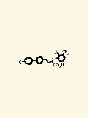 O=C(O)C(CCc1ccc(-c2ccc(Cl)cc2)cc1)Oc1cccc(C(F)(F)F)c1Cl